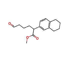 COC(=O)C(CCCC=O)c1ccc2c(c1)CCCC2